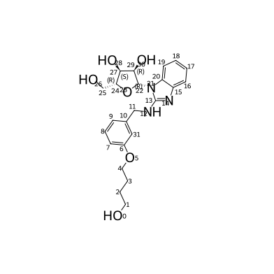 OCCCCOc1cccc(CNc2nc3ccccc3n2[C@@H]2O[C@H](CO)[C@@H](O)[C@H]2O)c1